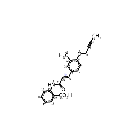 CC#CCOc1ccc(/C=C/C(=O)Nc2ccccc2C(=O)O)cc1C